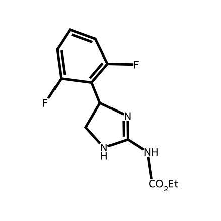 CCOC(=O)NC1=NC(c2c(F)cccc2F)CN1